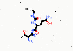 C[C@H](O)[C@H](N)c1noc([C@H](CCC(N)O)NC(=O)NCC(=O)O)n1